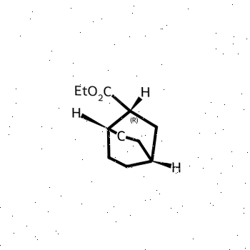 CCOC(=O)[C@@H]1C[C@H]2CC[C@@H]1CC2